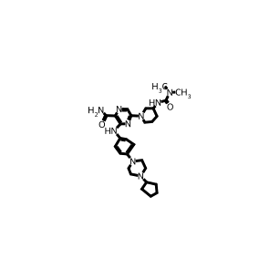 CN(C)C(=O)NC1CCCN(c2cnc(C(N)=O)c(Nc3ccc(N4CCN(C5CCCC5)CC4)cc3)n2)C1